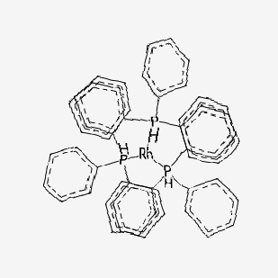 c1ccc([PH](c2ccccc2)(c2ccccc2)[Rh]([PH](c2ccccc2)(c2ccccc2)c2ccccc2)[PH](c2ccccc2)(c2ccccc2)c2ccccc2)cc1